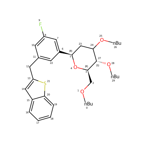 CCCCOC[C@H]1O[C@@H](c2cc(F)cc(Cc3cc4ccccc4s3)c2)CC(OCCCC)[C@@H]1OCCCC